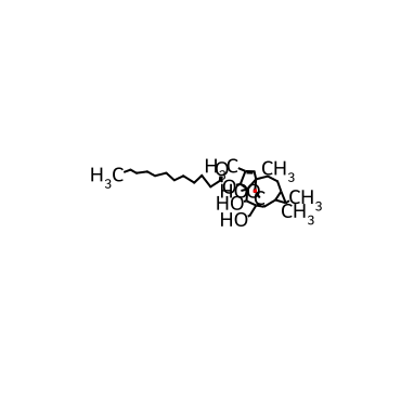 CCCCCCCCCCCC(=O)OC1C(C)=CC23C(=O)CC(=C(CO)C(O)C12O)C1C(CC3C)C1(C)C